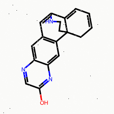 Oc1cnc2cc3c(cc2n1)C12CC=CC=C1C(=C3)NCC2